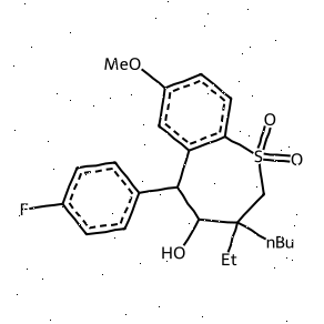 CCCCC1(CC)CS(=O)(=O)c2ccc(OC)cc2C(c2ccc(F)cc2)C1O